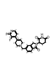 O=C1CCC(N2Cc3cc(CN4CC=C(c5ccnc(F)c5F)CC4)ccc3C2=O)C(=O)N1